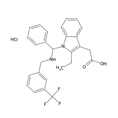 CCc1c(CC(=O)O)c2ccccc2n1C(NCc1cccc(C(F)(F)F)c1)c1ccccc1.Cl